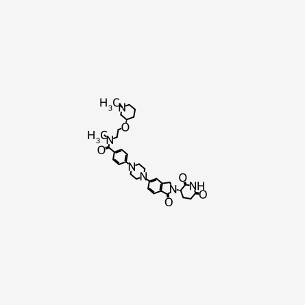 CN1CCC[C@@H](OCCN(C)C(=O)c2ccc(N3CCN(c4ccc5c(c4)CN([C@@H]4CCC(=O)NC4=O)C5=O)CC3)cc2)C1